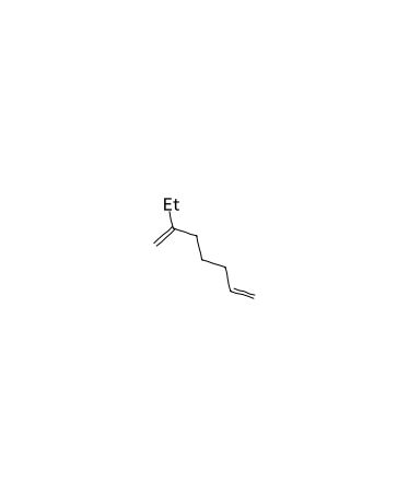 C=CCCCC(=C)CC